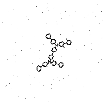 Cc1ccccc1-c1ccc(N(c2ccc(-c3ccccc3)cc2)c2ccc(-c3ccc4c(c3)c3cc(-c5ccccc5)ccc3n4-c3ccc(-c4ccccc4)cc3)cc2)cc1C